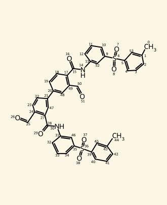 Cc1cccc(S(=O)(=O)c2cccc(NC(=O)c3ccc(-c4ccc(C=O)c(C(=O)Nc5cccc(S(=O)(=O)c6cccc(C)c6)c5)c4)cc3C=O)c2)c1